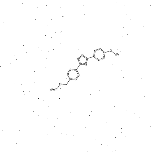 CCCCCOCc1ccc(-c2nnc(-c3ccc(OCCC)cc3)s2)cc1